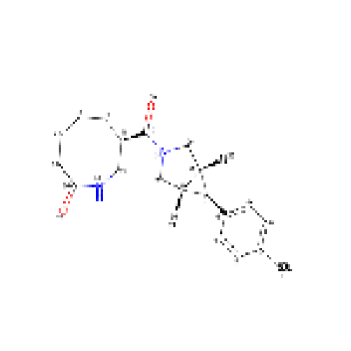 CC(C)(C)c1ccc([C@H]2[C@@H]3CN(C(=O)[C@@H]4CCCCC(=O)NC4)C[C@@H]32)cc1